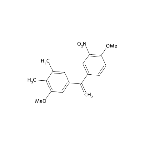 C=C(c1cc(C)c(C)c(OC)c1)c1ccc(OC)c([N+](=O)[O-])c1